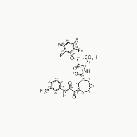 O=C(O)C[C@H](NC(=O)[C@@H]1COCCN(C(=O)C(=O)Nc2cccc(C(F)(F)F)c2)C1)C(=O)COc1c(F)c(F)cc(F)c1F